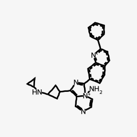 N[N+]12C=CN=CC1=C(C1CC(NC3CC3)C1)N=C2c1ccc2ccc(-c3ccccc3)nc2c1